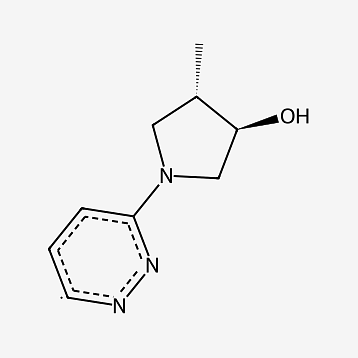 C[C@H]1CN(c2cc[c]nn2)C[C@@H]1O